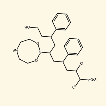 CCCCCCCCC(Cl)C(Cl)CC(CC(CC(CCO)c1ccccc1)B1OCCNCCO1)c1ccccc1